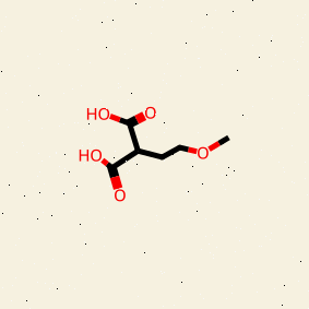 COCCC(C(=O)O)C(=O)O